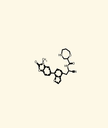 Cn1c(=O)oc2ccc(-c3ccc(CC(C#N)NC(=O)C4CNCCCO4)c4ccsc34)cc21